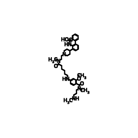 CNCCCN(C)C(=O)c1ccc(NCCCCCC(=O)N(C)CCN2CCC(c3cccc(-c4ccccc4)c3NC(=O)O)CC2)cc1OC